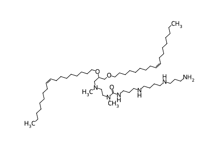 CCCCCCCC/C=C\CCCCCCCCOCC(CN(C)CCN(C)C(=O)NCCCNCCCCNCCCN)OCCCCCCCC/C=C\CCCCCCCC